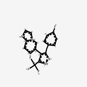 Fc1ccc(-c2n[nH]c(C(F)(F)F)c2-c2ccc3nccn3c2)cc1